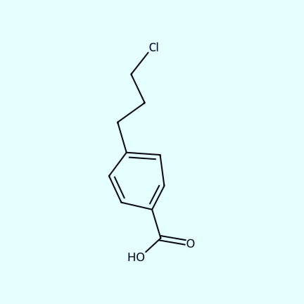 O=C(O)c1ccc(CCCCl)cc1